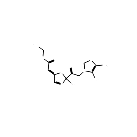 CCOC(=O)C=C1C=NC(N)(C(=O)CN2CSC(C)=C2C)S1